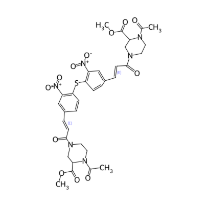 COC(=O)C1CN(C(=O)/C=C/c2ccc(Sc3ccc(/C=C/C(=O)N4CCN(C(C)=O)C(C(=O)OC)C4)cc3[N+](=O)[O-])c([N+](=O)[O-])c2)CCN1C(C)=O